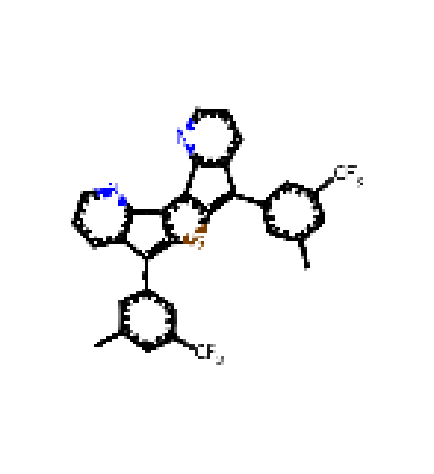 Cc1cc(C2=c3sc4c(c3-c3ncccc32)-c2ncccc2C=4c2cc(C)cc(C(F)(F)F)c2)cc(C(F)(F)F)c1